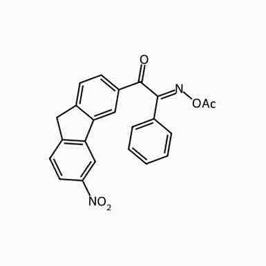 CC(=O)O/N=C(/C(=O)c1ccc2c(c1)-c1cc([N+](=O)[O-])ccc1C2)c1ccccc1